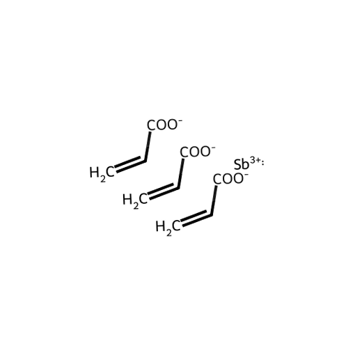 C=CC(=O)[O-].C=CC(=O)[O-].C=CC(=O)[O-].[Sb+3]